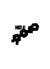 Cc1ccc(-c2ccc(-c3cn4c(n3)CCCC4)c(F)c2)cc1C.Cl